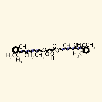 CC1=C(/C=C/C(C)=C/C=C/C(C)=C/COC(=O)CC(O)C(=O)OC/C=C(C)/C=C/C=C(C)/C=C/C2=C(C)CCCC2(C)C)C(C)(C)CCC1